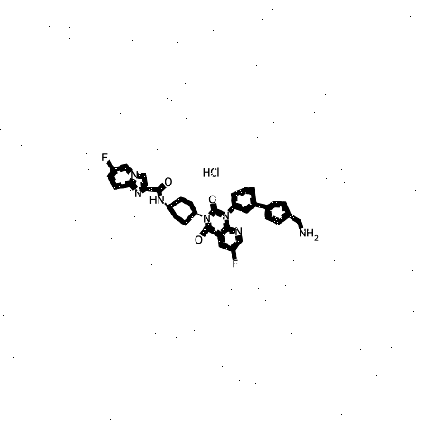 Cl.NCc1ccc(-c2cccc(-n3c(=O)n([C@H]4CC[C@@H](NC(=O)c5cn6cc(F)ccc6n5)CC4)c(=O)c4cc(F)cnc43)c2)cc1